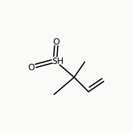 C=CC(C)(C)[SH](=O)=O